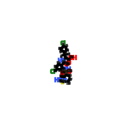 CC(C)(c1ccc(Cl)cc1)[C@H](NC(=O)c1ccc(Cl)cc1NS(=O)(=O)C1=CC=CN2SNC=C12)C(=O)O